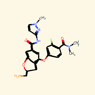 CN(C)C(=O)c1ccc(Oc2cc(C(=O)Nc3ccn(C)n3)cc3c2CC(CP)O3)cc1F